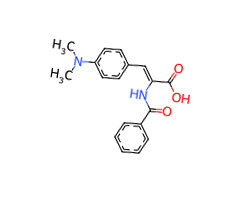 CN(C)c1ccc(C=C(NC(=O)c2ccccc2)C(=O)O)cc1